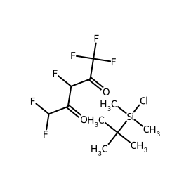 CC(C)(C)[Si](C)(C)Cl.O=C(C(F)F)C(F)C(=O)C(F)(F)F